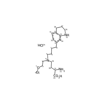 CCOCCN(CCCCc1ccc2c(n1)NCCC2)CCC(N)C(=O)O.Cl